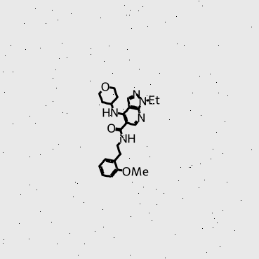 CCn1ncc2c(NC3CCOCC3)c(C(=O)NCCc3ccccc3OC)cnc21